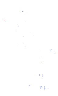 N=C(N)NCCCC(NC(=O)CN1CCNCC1=O)C(=O)c1nccs1